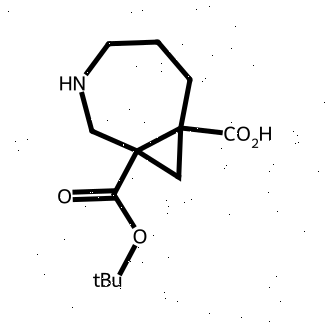 CC(C)(C)OC(=O)C12CNCCCC1(C(=O)O)C2